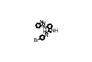 Brc1ccc(/N=N/c2c[nH]c3cccc(Nn4nnc5ccccc54)c23)cc1